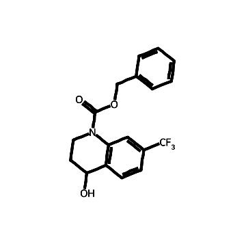 O=C(OCc1ccccc1)N1CCC(O)c2ccc(C(F)(F)F)cc21